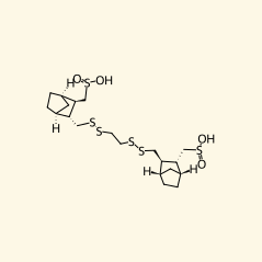 O=S(O)C[C@@H]1[C@@H]2CC[C@@H](C2)[C@H]1CSSCCSSC[C@@H]1[C@H]2CC[C@H](C2)[C@H]1CS(=O)O